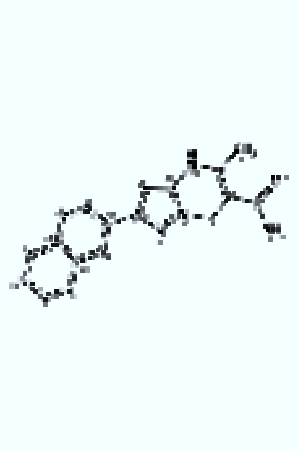 CC1=C(C(N)=O)Cn2nc(-c3ccc4cnccc4c3)cc2N1